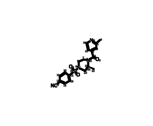 Cc1cc(C(=O)N2CCN(S(=O)(=O)c3ccc(C#N)cc3)C[C@@H]2C)ccn1